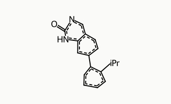 CC(C)c1ccccc1-c1ccc2cnc(=O)[nH]c2c1